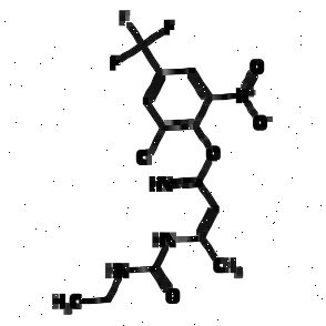 CCNC(=O)N/C(C)=C\C(=N)Oc1c(Cl)cc(C(F)(F)F)cc1[N+](=O)[O-]